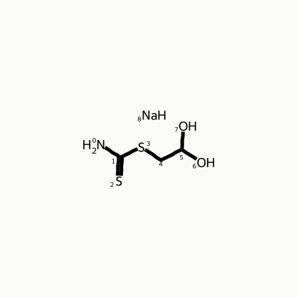 NC(=S)SCC(O)O.[NaH]